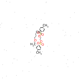 Cc1ccc(S(=O)(=O)OCCOS(=O)(=O)c2ccc(C)cc2)cc1.[CH2]COCCCC